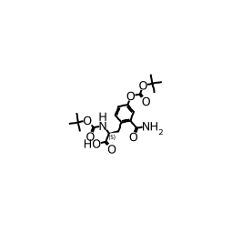 CC(C)(C)OC(=O)N[C@@H](Cc1ccc(OC(=O)OC(C)(C)C)cc1C(N)=O)C(=O)O